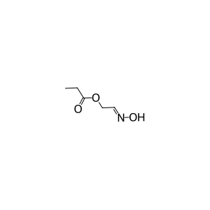 CCC(=O)OCC=NO